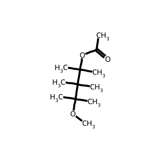 COC(C)(C)C(C)(C)C(C)(C)OC(C)=O